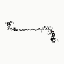 CCc1c2c(nc3ccc(O)cc13)-c1cc3c(c(=O)n1C2)COC(=O)C3(CC)OC(=O)OCC(NC(=O)COCC(=O)NCCOCCOCCOCCOCCOCCOCCOCCOCCn1cc(CNCC2CCC(CN3C(=O)CC(C)C3=O)CC2=O)nn1)C(C)C